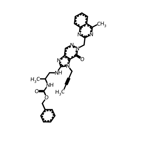 CC#CCn1c(NCC(C)NC(=O)OCc2ccccc2)nc2cnn(Cc3nc(C)c4ccccc4n3)c(=O)c21